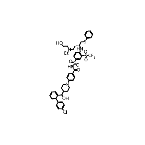 CCN(CCO)CC[C@H](CSc1ccccc1)Nc1ccc(S(=O)(=O)NC(=O)c2ccc(N3CCC(C(O)c4ccccc4-c4ccc(Cl)cc4)CC3)cc2)cc1S(=O)(=O)C(F)(F)F